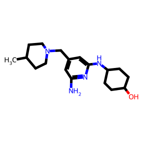 CC1CCN(Cc2cc(N)nc(NC3CCC(O)CC3)c2)CC1